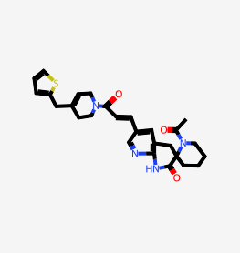 CC(=O)N1CCCCC12Cc1cc(/C=C/C(=O)N3CC=C(Cc4cccs4)CC3)cnc1NC2=O